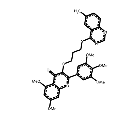 COc1cc(OC)c2c(=O)c(OCCCSc3ncnc4ccc(C)cc34)c(-c3cc(OC)c(OC)c(OC)c3)oc2c1